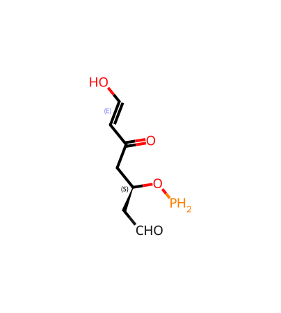 O=CC[C@@H](CC(=O)/C=C/O)OP